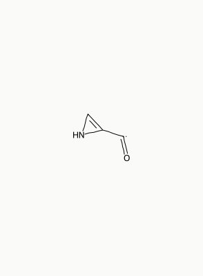 O=[C]C1=CN1